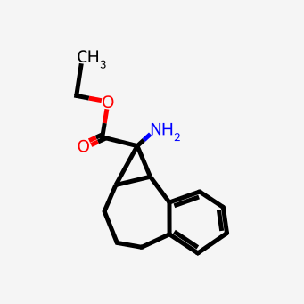 CCOC(=O)C1(N)C2CCCc3ccccc3C21